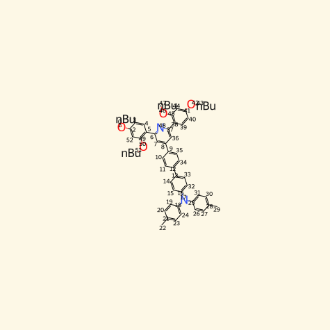 CCCCOc1ccc(-c2cc(-c3ccc(-c4ccc(N(c5ccc(C)cc5)c5ccc(C)cc5)cc4)cc3)cc(-c3ccc(OCCCC)cc3OCCCC)n2)c(OCCCC)c1